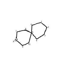 [CH]1CCCCC12[CH]C[N]CC2